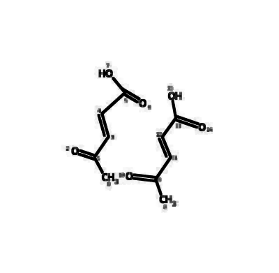 CC(=O)C=CC(=O)O.CC(=O)C=CC(=O)O